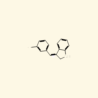 Clc1cccc(/C=C2/CNc3ccccc32)c1